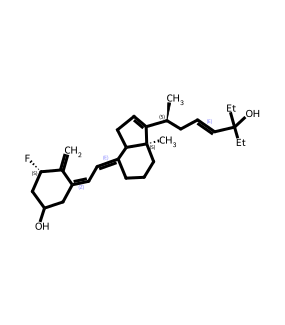 C=C1/C(=C\C=C2/CCC[C@]3(C)C([C@@H](C)C/C=C/C(O)(CC)CC)=CCC23)CC(O)C[C@@H]1F